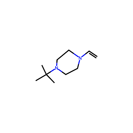 C=CN1CCN(C(C)(C)C)CC1